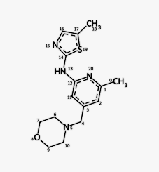 Cc1cc(CN2CCOCC2)cc(Nc2ncc(C)s2)n1